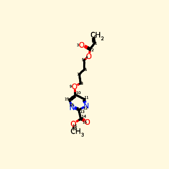 C=CC(=O)OCCCCOc1cnc(C(=O)OC)nc1